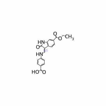 CCOC(=O)c1ccc2c(c1)NC(=O)/C2=C\Nc1ccc(C(=O)O)cc1